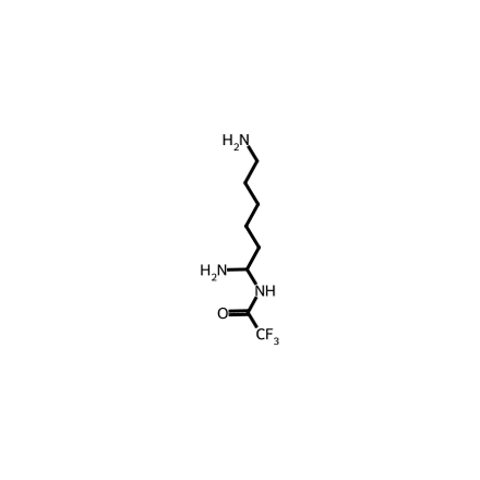 NCCCCCC(N)NC(=O)C(F)(F)F